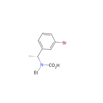 CCN(C(=O)O)[C@H](C)c1cccc(Br)c1